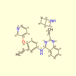 C#Cc1nc(Nc2ccc(Oc3cccnc3)c(C#C)c2)c2ccccc2n1.C1CC2NCC12